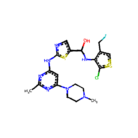 Cc1nc(Nc2ncc(C(O)Nc3c(CF)csc3Cl)s2)cc(N2CCN(C)CC2)n1